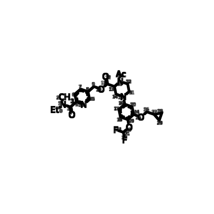 CCN(C)C(=O)c1ccc(COC(=O)C2CN(c3ccc(OC(F)F)c(OCC4CC4)c3)CCN2C(C)=O)cn1